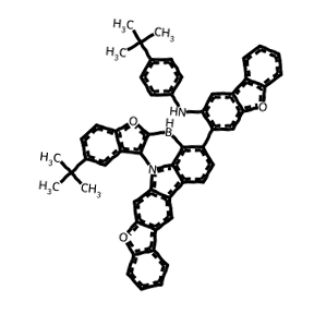 CC(C)(C)c1ccc(Nc2cc3c(cc2-c2ccc4c5cc6c(cc5n5c4c2Bc2oc4ccc(C(C)(C)C)cc4c2-5)oc2ccccc26)oc2ccccc23)cc1